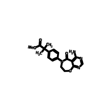 COC(=O)C(C)(C)c1ccc(N2CCOc3ncnc(N)c3C2=O)cc1